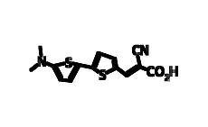 CN(C)c1ccc(-c2ccc(/C=C(\C#N)C(=O)O)s2)s1